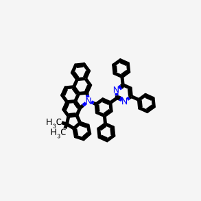 CC1(C)c2ccccc2-c2c1cc1ccc3c4ccccc4cc4c3c1c2n4-c1cc(-c2ccccc2)cc(-c2nc(-c3ccccc3)cc(-c3ccccc3)n2)c1